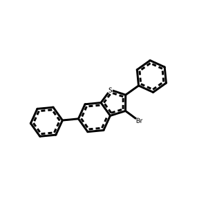 Brc1c(-c2ccccc2)sc2cc(-c3ccccc3)ccc12